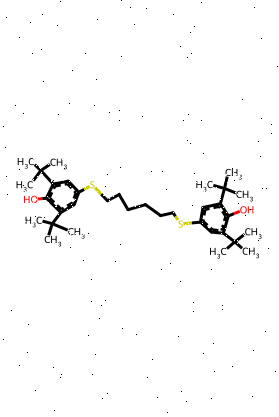 CC(C)(C)c1cc(SCCCCCCSc2cc(C(C)(C)C)c(O)c(C(C)(C)C)c2)cc(C(C)(C)C)c1O